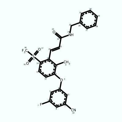 Cc1c(Oc2cc(F)cc(C#N)c2)ccc(S(=O)(=O)C(F)(F)F)c1C=CC(=O)NCc1ccccc1